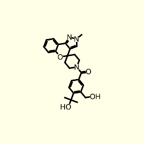 Cn1cc2c(n1)-c1ccccc1OC21CCN(C(=O)c2ccc(C(C)(C)O)c(CO)c2)CC1